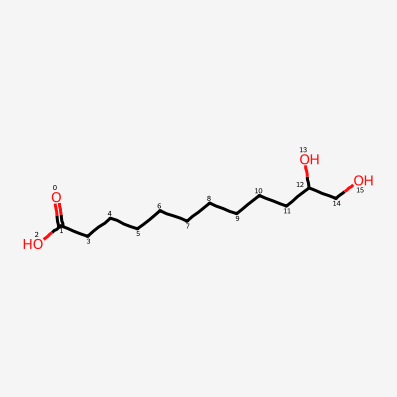 O=C(O)CCCCCCCCCC(O)CO